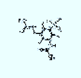 Cc1c(CNC(=O)C(F)(F)F)c(C)c(S(=O)(=O)Cl)c(C)c1NC(=O)C(F)(F)F